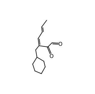 CC=CC=C(CC1CCCCC1)C(=O)C=O